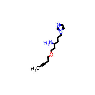 CC#CCCOCCC(N)CCCn1ccnc1